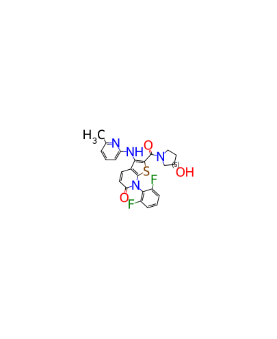 Cc1cccc(Nc2c(C(=O)N3CC[C@H](O)C3)sc3c2ccc(=O)n3-c2c(F)cccc2F)n1